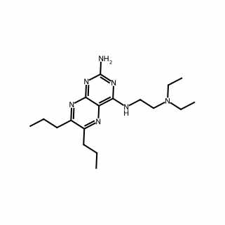 CCCc1nc2nc(N)nc(NCCN(CC)CC)c2nc1CCC